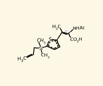 C=CC[Si](C)(C)c1ccc(/C(C)=C(/NC(C)=O)C(=O)O)s1